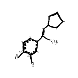 O=C(O)C(=CC1CCCC1)c1ccc(Cl)c(Cl)c1